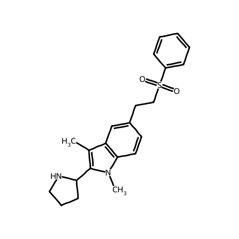 Cc1c(C2CCCN2)n(C)c2ccc(CCS(=O)(=O)c3ccccc3)cc12